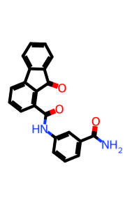 NC(=O)c1cccc(NC(=O)c2cccc3c2C(=O)c2ccccc2-3)c1